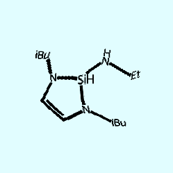 CCN[SiH]1N(C(C)CC)C=CN1C(C)CC